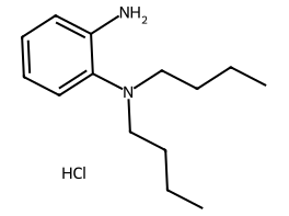 CCCCN(CCCC)c1ccccc1N.Cl